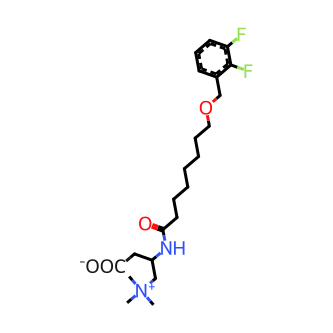 C[N+](C)(C)CC(CC(=O)[O-])NC(=O)CCCCCCCOCc1cccc(F)c1F